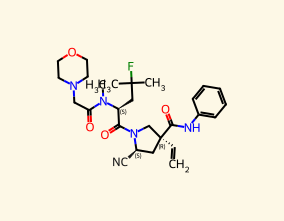 C=C[C@]1(C(=O)Nc2ccccc2)C[C@@H](C#N)N(C(=O)[C@H](CC(C)(C)F)N(C)C(=O)CN2CCOCC2)C1